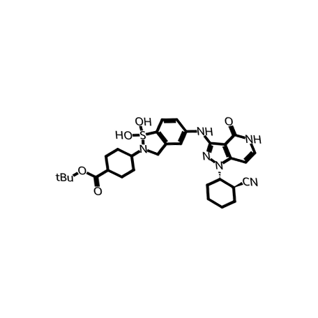 CC(C)(C)OC(=O)C1CCC(N2Cc3cc(Nc4nn([C@H]5CCCC[C@@H]5C#N)c5cc[nH]c(=O)c45)ccc3S2(O)O)CC1